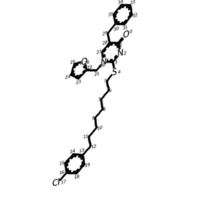 O=c1nc(SCCCCCCCCc2ccc(Cl)cc2)n(Cc2ccco2)cc1Cc1ccccc1